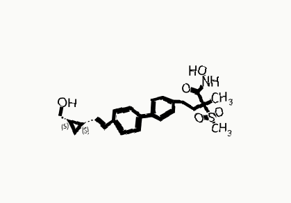 CC(CCc1ccc(-c2ccc(C=C[C@@H]3C[C@@H]3CO)cc2)cc1)(C(=O)NO)S(C)(=O)=O